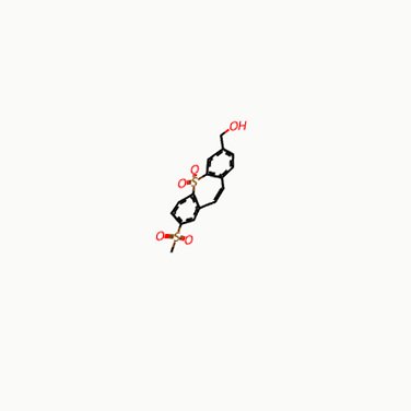 CS(=O)(=O)c1ccc2c(c1)C=Cc1ccc(CO)cc1S2(=O)=O